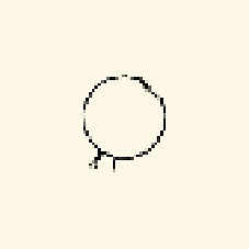 CC1CCCCCC/C=C/CCCCCCCC1=O